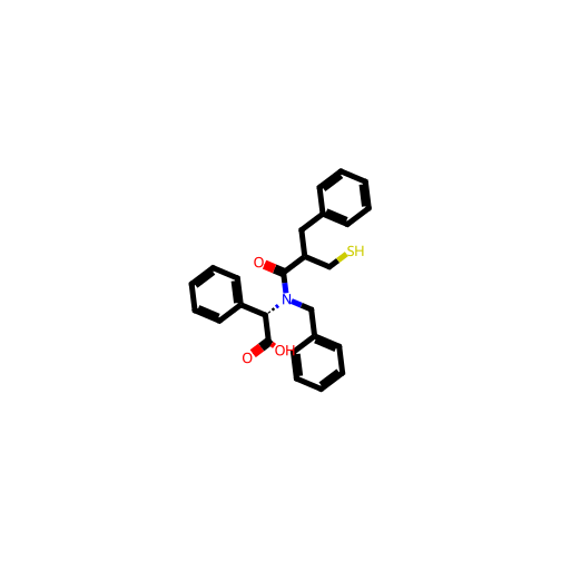 O=C(O)[C@H](c1ccccc1)N(Cc1ccccc1)C(=O)C(CS)Cc1ccccc1